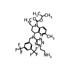 CC[C@@H]1C[C@H](N(Cc2cc(C(F)(F)F)cc(C(F)(F)F)c2)c2nnn(CCN)n2)c2nc(C)ccc2N1C(=O)OC(C)C